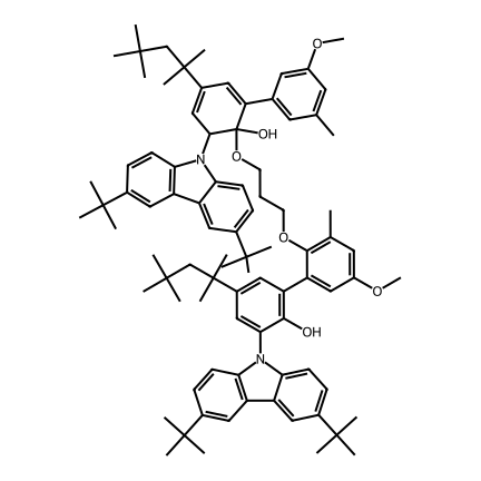 COc1cc(C)cc(C2=CC(C(C)(C)CC(C)(C)C)=CC(n3c4ccc(C(C)(C)C)cc4c4cc(C(C)(C)C)ccc43)C2(O)OCCCOc2c(C)cc(OC)cc2-c2cc(C(C)(C)CC(C)(C)C)cc(-n3c4ccc(C(C)(C)C)cc4c4cc(C(C)(C)C)ccc43)c2O)c1